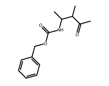 CC(=O)C(C)C(C)NC(=O)OCc1ccccc1